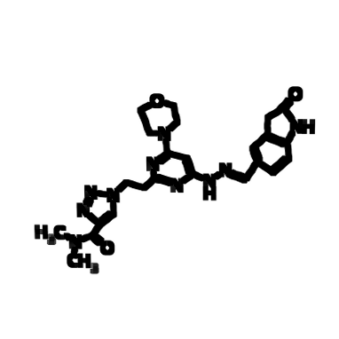 CN(C)C(=O)c1cn(CCc2nc(NN=Cc3ccc4c(c3)CC(=O)N4)cc(N3CCOCC3)n2)nn1